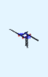 CCCCCCCCCCCCCNC(=O)CCN(CCNCCN(CCC)CCN(CCC(=O)NCCCCCCCCCCCC)CCC(=O)NCCCCCCCCCCCC)CCC(=O)NCCCCCCCCCCCC